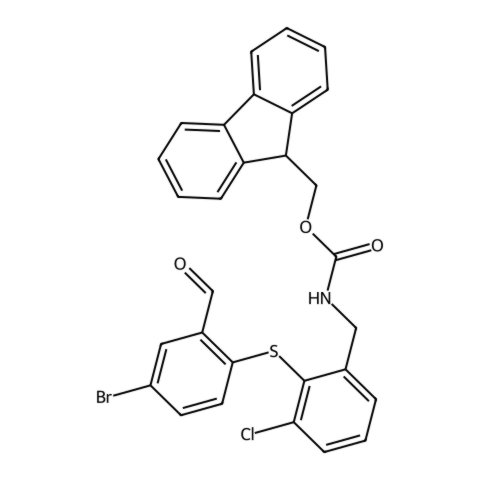 O=Cc1cc(Br)ccc1Sc1c(Cl)cccc1CNC(=O)OCC1c2ccccc2-c2ccccc21